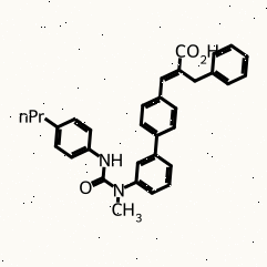 CCCc1ccc(NC(=O)N(C)c2cccc(-c3ccc(C=C(Cc4ccccc4)C(=O)O)cc3)c2)cc1